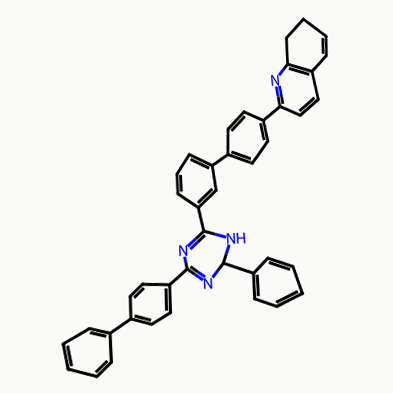 C1=Cc2ccc(-c3ccc(-c4cccc(C5=NC(c6ccc(-c7ccccc7)cc6)=NC(c6ccccc6)N5)c4)cc3)nc2CC1